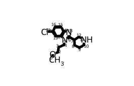 COCCCn1c(C2CCCNC2)nc2ccc(Cl)cc21